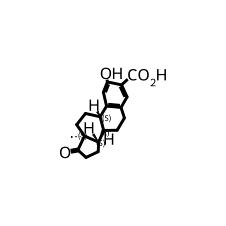 C[C@]12CC[C@@H]3c4cc(O)c(C(=O)O)cc4CC[C@H]3[C@@H]1CCC2=O